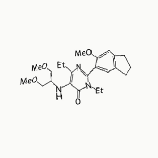 CCc1nc(-c2cc3c(cc2OC)CCC3)n(CC)c(=O)c1NC(COC)COC